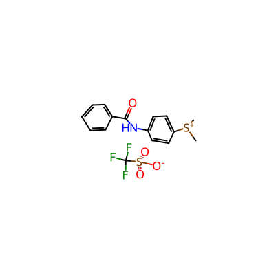 C[S+](C)c1ccc(NC(=O)c2ccccc2)cc1.O=S(=O)([O-])C(F)(F)F